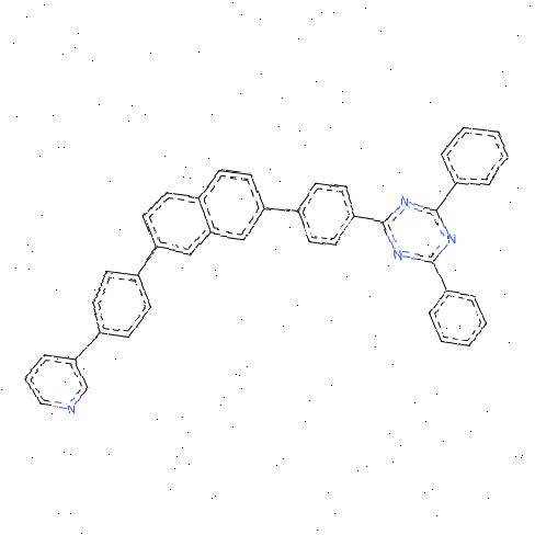 c1ccc(-c2nc(-c3ccccc3)nc(-c3ccc(-c4ccc5ccc(-c6ccc(-c7cccnc7)cc6)cc5c4)cc3)n2)cc1